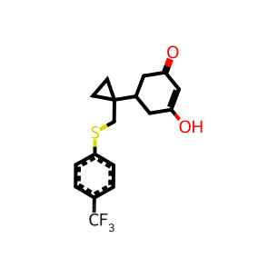 O=C1C=C(O)CC(C2(CSc3ccc(C(F)(F)F)cc3)CC2)C1